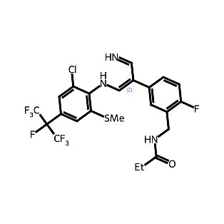 CCC(=O)NCc1cc(/C(C=N)=C/Nc2c(Cl)cc(C(F)(C(F)(F)F)C(F)(F)F)cc2SC)ccc1F